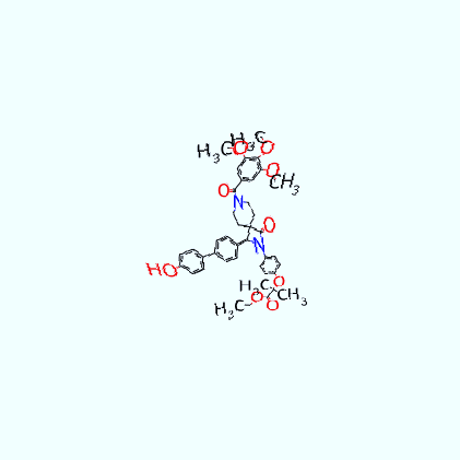 CCOC(=O)C(C)(C)Oc1ccc(N2C(=O)C3(CCN(C(=O)c4cc(OC)c(OC)c(OC)c4)CC3)C2c2ccc(-c3ccc(O)cc3)cc2)cc1